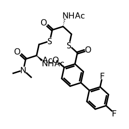 CC(=O)N[C@H](CSC(=O)c1cc(-c2ccc(F)cc2F)ccc1OC(C)=O)C(=O)SC[C@@H](NC(C)=O)C(=O)N(C)C